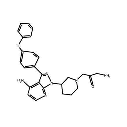 NCC(=O)CN1CCCC(n2nc(-c3ccc(Oc4ccccc4)cc3)c3c(N)ncnc32)C1